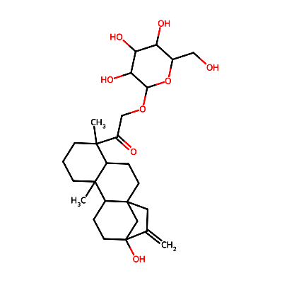 C=C1CC23CCC4C(C)(C(=O)COC5OC(CO)C(O)C(O)C5O)CCCC4(C)C2CCC1(O)C3